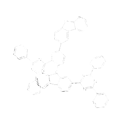 c1ccc(-c2nc(-c3ccccc3)nc(-c3ccc4c5ccccc5n(-c5ccc(-c6ccc7oc8ccccc8c7c6)cc5-c5nc(-c6ccccc6)nc(-c6ccccc6)n5)c4c3)n2)cc1